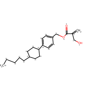 C=C(CO)C(=O)OCc1ccc(C2CCC(CCCCC)CC2)cc1